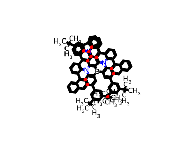 CC(C)(C)c1cc(-c2ccc3c(c2)B2c4cc(-c5cc(C(C)(C)C)cc(C(C)(C)C)c5)ccc4N(c4c(-c5cccc6ccccc56)cccc4-c4cccc5ccccc45)c4cc(-n5c6ccccc6c6cc(C(C)(C)C)ccc65)cc(c42)N3c2c(-c3cccc4ccccc34)cccc2-c2cccc3ccccc23)cc(C(C)(C)C)c1